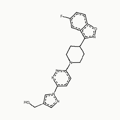 OCc1cnn(-c2ccc(N3CCC(c4noc5ccc(F)cc45)CC3)nn2)c1